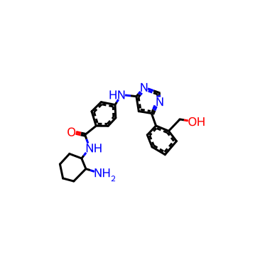 NC1CCCCC1NC(=O)c1ccc(Nc2cc(-c3ccccc3CO)ncn2)cc1